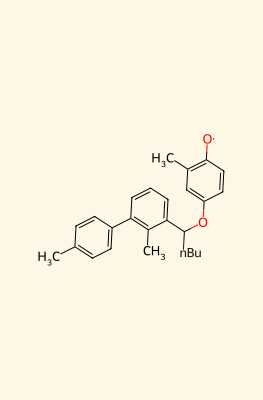 CCCCC(Oc1ccc([O])c(C)c1)c1cccc(-c2ccc(C)cc2)c1C